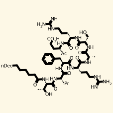 CCCCCCCCCCCCCCCC(=O)N[C@H](C(=O)N[C@H](C(=O)N[C@@H](Cc1ccccc1)C(=O)N[C@@H](CCCNC(=N)N)C(=O)N[C@@H](C)C(=O)N[C@@H](CO)C(=O)N[C@@H](CCCNC(=N)N)C(=O)N[C@@H](CCC(=O)O)C(C)=O)C(C)C)[C@@H](C)O